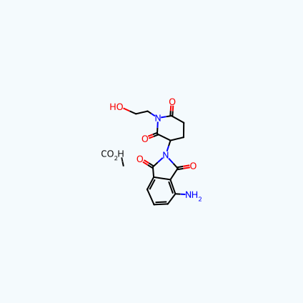 CC(=O)O.Nc1cccc2c1C(=O)N(C1CCC(=O)N(CCO)C1=O)C2=O